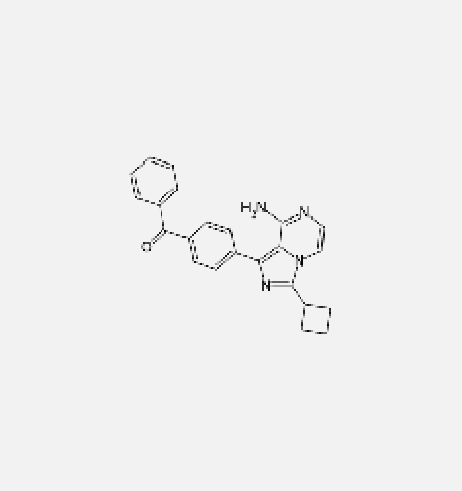 Nc1nccn2c(C3CCC3)nc(-c3ccc(C(=O)c4ccccc4)cc3)c12